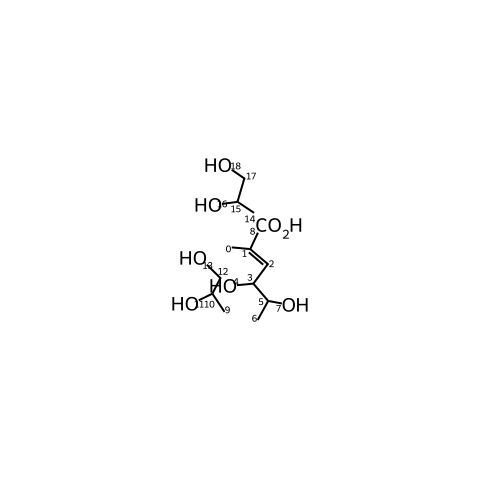 CC(=CC(O)C(C)O)C(=O)O.CC(O)CO.CC(O)CO